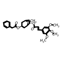 COc1cc(C=CC(=O)O[C@H]2CC3C[C@H](OC(=O)Cc4ccccc4)CC2N3C)cc(OC)c1OC